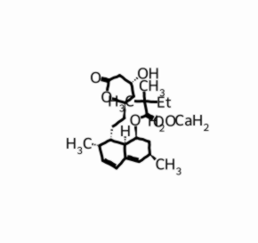 CCC(C)(C)C(=O)O[C@H]1C[C@@H](C)C=C2C=C[C@H](C)[C@H](CC[C@@H]3C[C@@H](O)CC(=O)O3)[C@H]21.O.[CaH2]